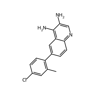 Cc1cc(Cl)ccc1-c1ccc2ncc(N)c(N)c2c1